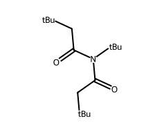 CC(C)(C)CC(=O)N(C(=O)CC(C)(C)C)C(C)(C)C